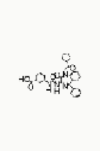 O=C(Nc1cccc(C(=O)O)c1)NC1N=C(c2ccccc2)c2ccccc2N(CC(=O)C2CCCC2)C1=O